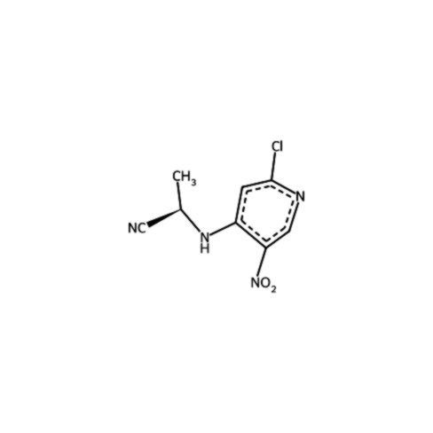 C[C@H](C#N)Nc1cc(Cl)ncc1[N+](=O)[O-]